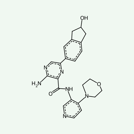 Nc1ncc(-c2ccc3c(c2)CC(O)C3)nc1C(=O)Nc1cnccc1N1CCOCC1